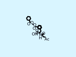 CC(=O)CCC(=O)N[C@H]1Cc2cccc(C(=O)OCOC(=O)C3CCCCC3)c2OB1N=O